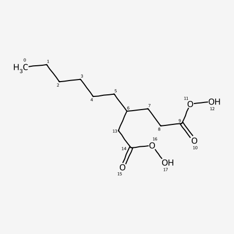 CCCCCCC(CCC(=O)OO)CC(=O)OO